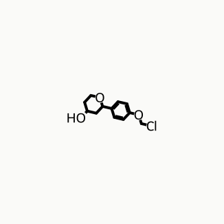 OC1CCOC(c2ccc(OCCl)cc2)C1